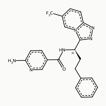 Nc1ccc(C(=O)N[C@H](CCc2ccccc2)c2nnc3ccc(C(F)(F)F)cn23)cn1